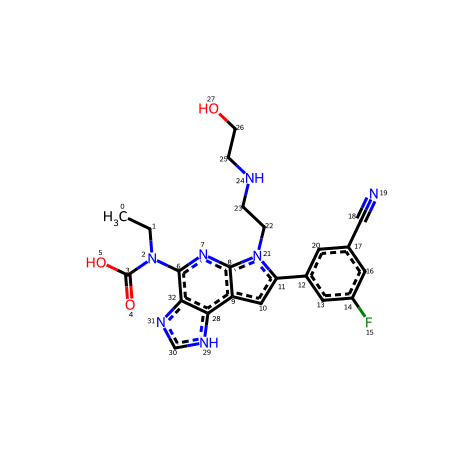 CCN(C(=O)O)c1nc2c(cc(-c3cc(F)cc(C#N)c3)n2CCNCCO)c2[nH]cnc12